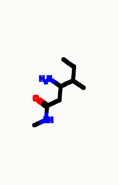 CCC(C)C(N)CC(=O)NC